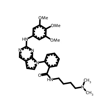 COc1cc(Nc2ncc3ccn(-c4ccccc4C(=O)NCCCCN(C)C)c3n2)cc(OC)c1OC